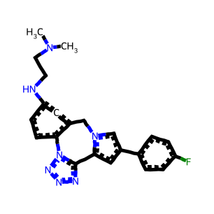 CN(C)CCNc1ccc2c(c1)Cn1cc(-c3ccc(F)cc3)cc1-c1nnnn1-2